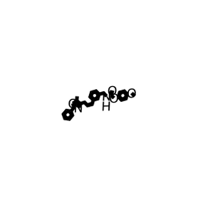 COc1ccc(OC(=O)NCc2cccc(/C=C\Cc3nc(-c4ccccc4)oc3C)c2)cc1